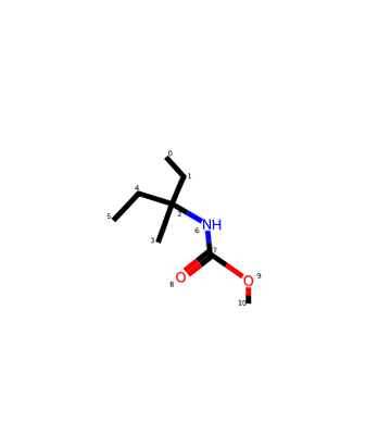 CCC(C)(CC)NC(=O)OC